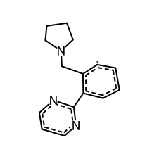 [c]1cccc(-c2ncccn2)c1CN1CCCC1